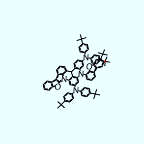 CC(C)(C)c1ccc(N(c2ccc(C(C)(C)C)cc2)c2ccc3c(c2)N(c2cccc4c2oc2cc(C(C)(C)C)ccc24)c2cc(N(c4ccc(C(C)(C)C)cc4)c4ccc(C(C)(C)C)cc4)cc4c2C3c2cccc3c5c6ccccc6oc5n-4c23)cc1